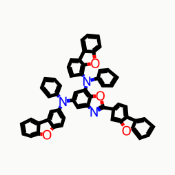 c1ccc(N(c2cc(N(c3ccccc3)c3cccc4c3oc3ccccc34)c3oc(-c4ccc5c(c4)oc4ccccc45)nc3c2)c2ccc3oc4ccccc4c3c2)cc1